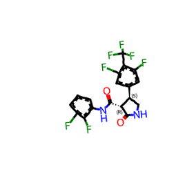 O=C1NC[C@H](c2cc(F)c(C(F)(F)F)c(F)c2)[C@H]1C(=O)Nc1cccc(F)c1F